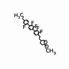 CCCc1ccc(-c2ccc(-c3ccc(CCC4CCC(OCC)OC4)c(F)c3F)c(F)c2F)c(F)c1